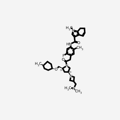 Cc1cc(CC(=O)N2C[C@@H](N3CC(CN(C)C)C3)C[C@H]2CO[C@H]2CC[C@H](C)CC2)c(F)cc1NC(=O)c1cn(C)c2c1C=CCC2